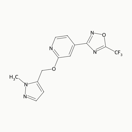 Cn1nccc1COc1cc(-c2noc(C(F)(F)F)n2)ccn1